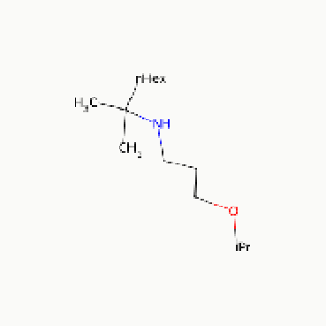 CCCCCCC(C)(C)NCCCOC(C)C